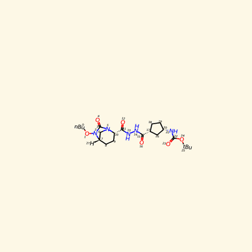 CCCCON1C(=O)N2C[C@@H]1CC[C@H]2C(=O)NNC(=O)[C@@H]1CC[C@H](NC(=O)OC(C)(C)C)C1